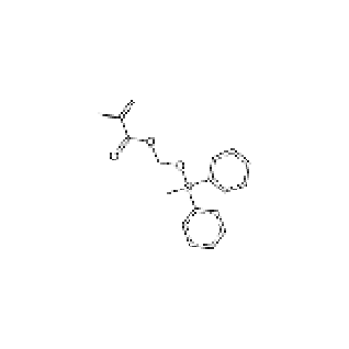 C=C(C)C(=O)OCO[Si](C)(c1ccccc1)c1ccccc1